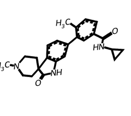 Cc1ccc(C(=O)NC2CC2)cc1-c1ccc2c(c1)NC(=O)C21CCN(C)CC1